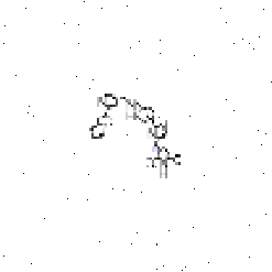 O=C1NC(=O)/C(=C/c2ccnc(N3CCC(CNCc4ccnc(-c5cc6ccccc6o5)c4)CC3)n2)S1